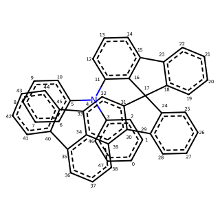 c1ccc(N(c2ccccc2)c2cccc3c2C2(c4ccccc4-3)c3ccccc3-c3c2cc2c4c(cccc34)-c3ccccc3-2)cc1